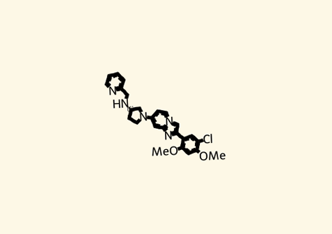 COc1cc(OC)c(-c2cn3ccc(N4CC[C@H](NCc5ccccn5)C4)cc3n2)cc1Cl